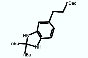 CCCCCCCCCCCCc1ccc2c(c1)NC(CCCC)(CCCC)N2